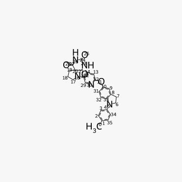 Cc1ccc(N2CCc3cc(Oc4ccc(N5CCCC56C(=O)NC(=O)NC6=O)cn4)ccc32)cc1